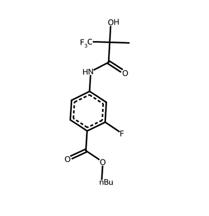 CCCCOC(=O)c1ccc(NC(=O)C(C)(O)C(F)(F)F)cc1F